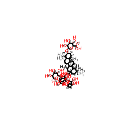 CC1(C)CCC2(C(=O)OC3OCC(O)C(O)C3OC3OC4CC(O)(C3O)C4OC3OCC(O)C(OC4OCC(O)C(O)C4O)C3O)[C@H](O)C[C@]3(C)C(=CCC4[C@@]5(C)CC[C@H](OC6OC(C(=O)O)C(O)C(O)C6O)C(C)(C)C5CC[C@]43C)[C@]2(C)C1